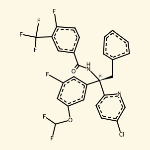 O=C(N[C@@](Cc1ccccc1)(c1cc(F)cc(OC(F)F)c1)c1ccc(Cl)cn1)c1ccc(F)c(C(F)(F)F)c1